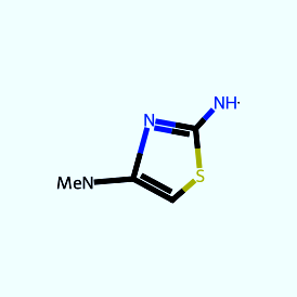 CNc1csc([NH])n1